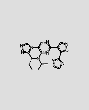 CC[C@@H]1c2nncn2-c2cnc(-c3cnoc3-c3nccs3)nc2N1C(C)C